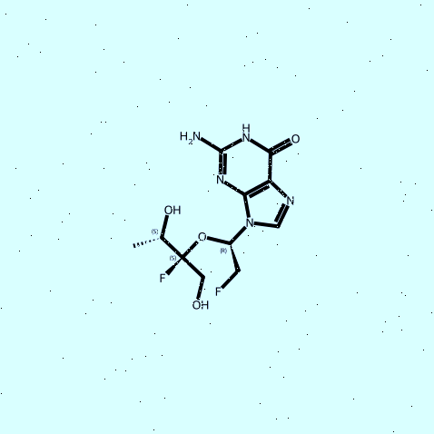 C[C@H](O)[C@@](F)(CO)O[C@H](CF)n1cnc2c(=O)[nH]c(N)nc21